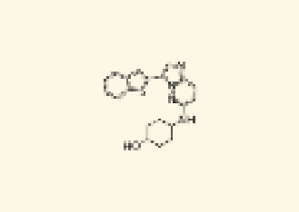 OC1CCC(Nc2ccc3ncc(-c4cc5ccccc5s4)n3n2)CC1